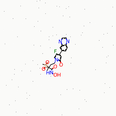 C[C@@](CCn1cc(F)c(-c2ccc3nccnc3c2)cc1=O)(C(=O)NO)S(C)(=O)=O